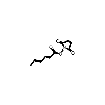 C/C=C/C=C/C(=O)ON1C(=O)CCC1=O